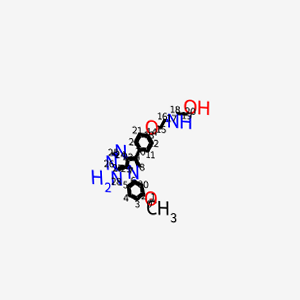 COc1cccc(-n2cc(-c3ccc(OCCNCCO)cc3)c3ncnc(N)c32)c1